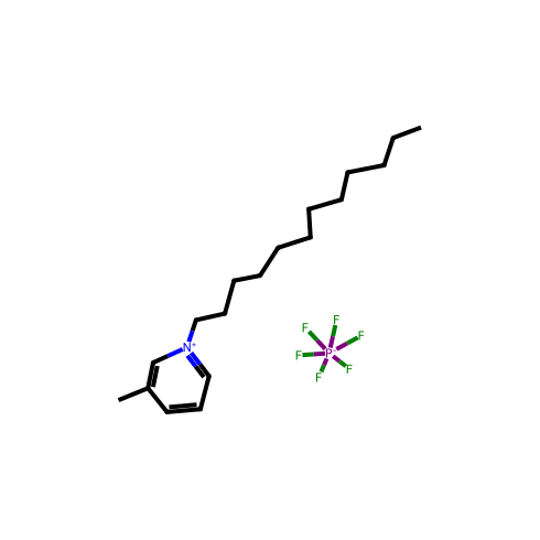 CCCCCCCCCCCC[n+]1cccc(C)c1.F[P-](F)(F)(F)(F)F